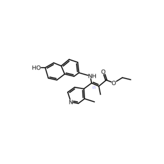 CCOC(=O)/C(C)=C(\Nc1ccc2cc(O)ccc2c1)c1ccncc1C